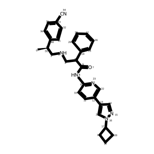 C[C@H](CNCC(C(=O)Nc1ccc(-c2cnn(C3CCC3)c2)cn1)c1ccccc1)c1ccc(C#N)cc1